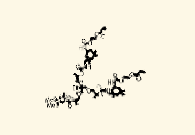 C=CC(=O)OCCOC(=O)NC1CC(C)(C)CC(C)(CNC(=O)OC(C)COCC(CC)(COCC(C)OC(=O)NC[Si](OC)(OC)OC)OCC(C)OC(=O)NCC2(C)CC(NC(=O)OCCOC(=O)C=C)CC(C)(C)C2)C1